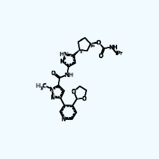 CC(C)NC(=O)O[C@@H]1CC[C@H](c2cc(NC(=O)c3cc(-c4cnccc4C4OCCO4)nn3C)n[nH]2)C1